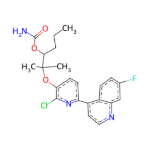 CCCC(OC(N)=O)C(C)(C)Oc1ccc(-c2ccnc3cc(F)ccc23)nc1Cl